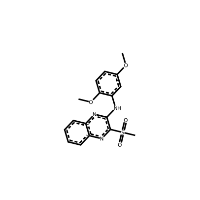 COc1ccc(OC)c(Nc2nc3ccccc3nc2S(C)(=O)=O)c1